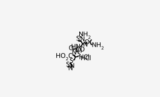 CC(CN)O/N=C(/C(=O)NC1C(=O)N2C(C(=O)O)=C(CSc3nncs3)CS[C@H]12)c1csc(N)n1.Cl.Cl